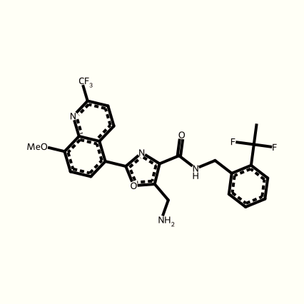 COc1ccc(-c2nc(C(=O)NCc3ccccc3C(C)(F)F)c(CN)o2)c2ccc(C(F)(F)F)nc12